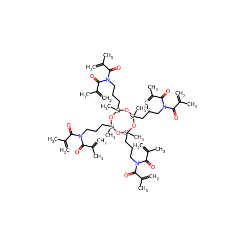 C=C(C)C(=O)N(CCC[Si]1(C)O[Si](C)(CCCN(C(=O)C(=C)C)C(=O)C(=C)C)O[Si](C)(CCCN(C(=O)C(=C)C)C(=O)C(=C)C)O[Si](C)(CCCN(C(=O)C(=C)C)C(=O)C(=C)C)O1)C(=O)C(=C)C